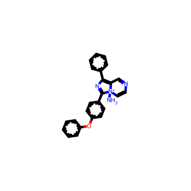 N[N+]12C=CN=CC1=C(c1ccccc1)N=C2c1ccc(Oc2ccccc2)cc1